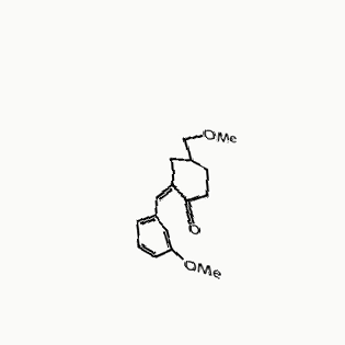 COCC1CCC(=O)/C(=C\c2cccc(OC)c2)C1